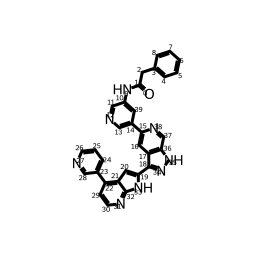 O=C(Cc1ccccc1)Nc1cncc(-c2cc3c(-c4cc5c(-c6cccnc6)ccnc5[nH]4)n[nH]c3cn2)c1